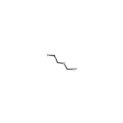 OCOCCF